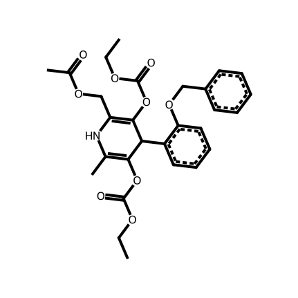 CCOC(=O)OC1=C(C)NC(COC(C)=O)=C(OC(=O)OCC)C1c1ccccc1OCc1ccccc1